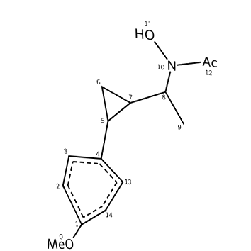 COc1ccc(C2CC2C(C)N(O)C(C)=O)cc1